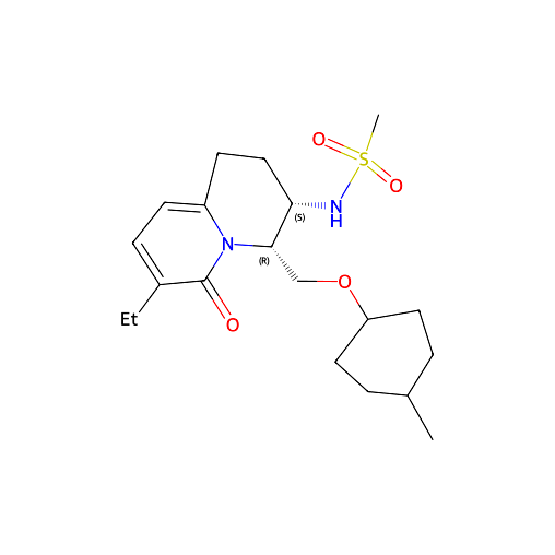 CCc1ccc2n(c1=O)[C@@H](COC1CCC(C)CC1)[C@@H](NS(C)(=O)=O)CC2